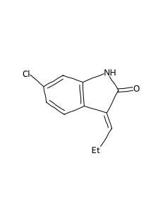 CC/C=C1/C(=O)Nc2cc(Cl)ccc21